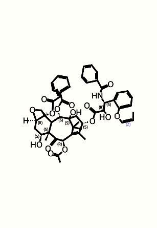 C=CC(=O)O[C@@]12CO[C@@H]1C[C@H](O)[C@@]1(C)C(=O)[C@H](OC(C)=O)C3=C(C)[C@@H](OC(=O)[C@H](O)[C@@H](NC(=O)c4ccccc4)c4ccccc4O/C=C\C)C[C@@](O)([C@@H](OC(=O)c4ccccc4)C12)C3(C)C